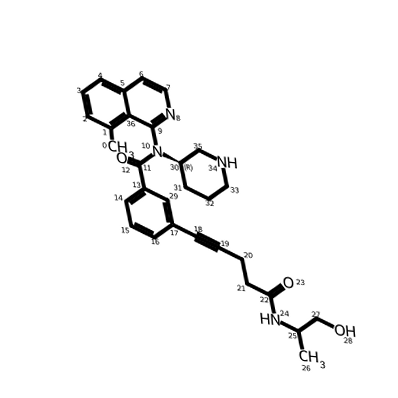 Cc1cccc2ccnc(N(C(=O)c3cccc(C#CCCC(=O)NC(C)CO)c3)[C@@H]3CCCNC3)c12